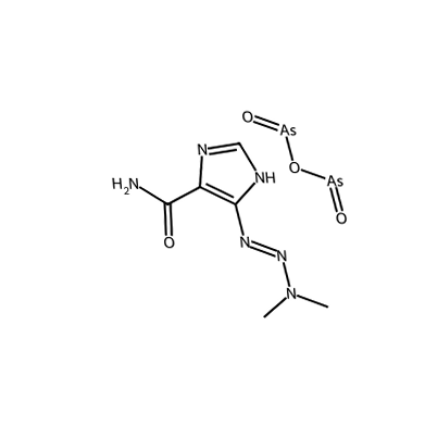 CN(C)/N=N/c1[nH]cnc1C(N)=O.O=[As]O[As]=O